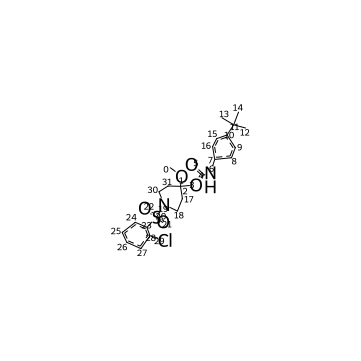 COC1(OC(=O)Nc2ccc(C(C)(C)C)cc2)CCN(S(=O)(=O)c2ccccc2Cl)CC1